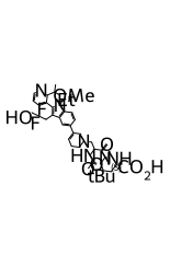 CCn1c(-c2cccnc2C(C)OC)c(CC(F)(F)CO)c2cc(C3=CCCN(CC(NC(=O)OC(C)(C)C)C(=O)N4CCC[C@@H](C(=O)O)N4)C3)ccc21